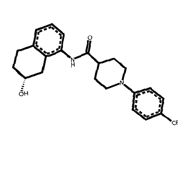 O=C(Nc1cccc2c1C[C@H](O)CC2)C1CCN(c2ccc(C(F)(F)F)cc2)CC1